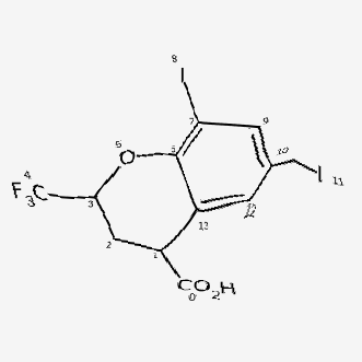 O=C(O)C1CC(C(F)(F)F)Oc2c(I)cc(I)cc21